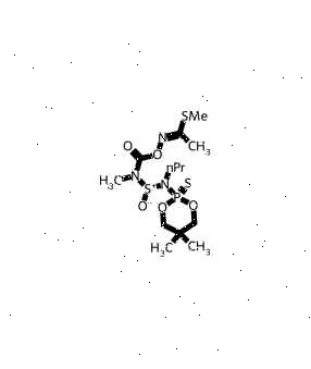 CCCN([S+]([O-])N(C)C(=O)ON=C(C)SC)P1(=S)OCC(C)(C)CO1